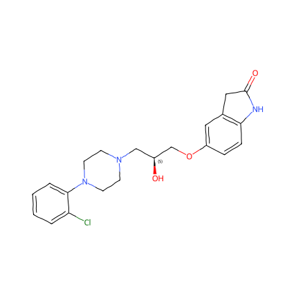 O=C1Cc2cc(OC[C@@H](O)CN3CCN(c4ccccc4Cl)CC3)ccc2N1